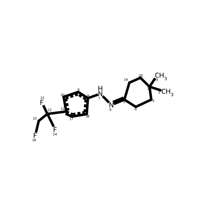 CC1(C)CCC(=NNc2ccc(C(F)(F)CF)cc2)CC1